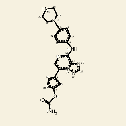 NC(=O)Oc1cc(-c2cnc(Nc3ccc(N4CCNCC4)cc3)c3ncnn23)cs1